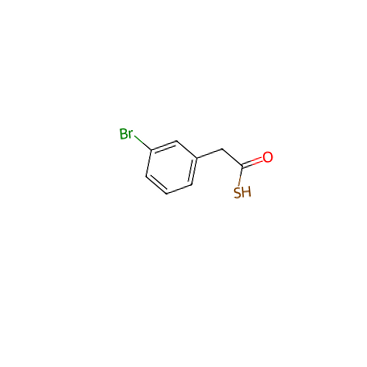 O=C(S)Cc1cccc(Br)c1